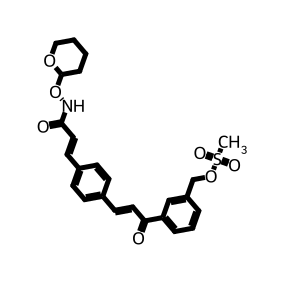 CS(=O)(=O)OCc1cccc(C(=O)C=Cc2ccc(C=CC(=O)NOC3CCCCO3)cc2)c1